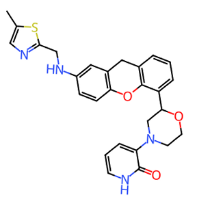 Cc1cnc(CNc2ccc3c(c2)Cc2cccc(C4CN(c5ccc[nH]c5=O)CCO4)c2O3)s1